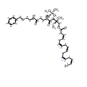 CC/C=C\C/C=C\C/C=C\C/C=C\C/C=C\CC(=O)OCC(C)(C)[C@@H](O[Si](C)(C)C(C)(C)C)C(=O)NCCC(=O)NCCSCc1ccccc1